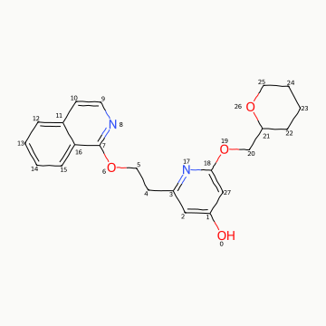 Oc1cc(CCOc2nccc3ccccc23)nc(OCC2CCCCO2)c1